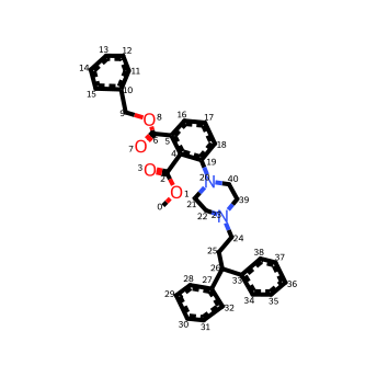 COC(=O)c1c(C(=O)OCc2ccccc2)cccc1N1CCN(CCC(c2ccccc2)c2ccccc2)CC1